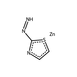 N=Nc1nccs1.[Zn]